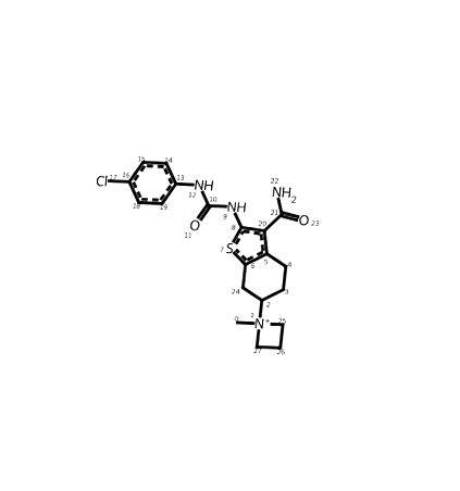 C[N+]1(C2CCc3c(sc(NC(=O)Nc4ccc(Cl)cc4)c3C(N)=O)C2)CCC1